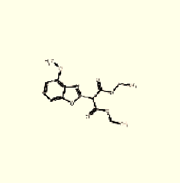 CCOC(=O)C(C(=O)OCC)c1nc2c(OC)cccc2o1